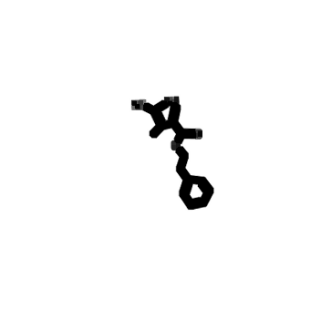 Cc1c(C(=O)OCCc2ccccc2)c[nH]c1C#N